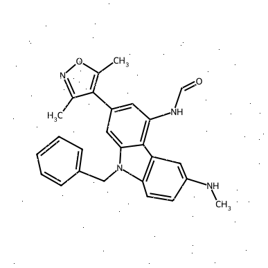 CNc1ccc2c(c1)c1c(NC=O)cc(-c3c(C)noc3C)cc1n2Cc1ccccc1